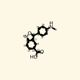 CNc1ccc(-c2onc3ccc(C(=O)O)cc23)cc1